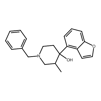 CC1CN(Cc2ccccc2)CCC1(O)c1cccc2occc12